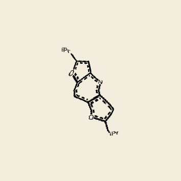 CC(C)c1cc2nc3cc(C(C)C)oc3cc2o1